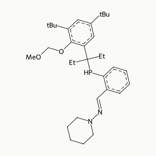 CCC(CC)(Pc1ccccc1/C=N/N1CCCCC1)c1cc(C(C)(C)C)cc(C(C)(C)C)c1OCOC